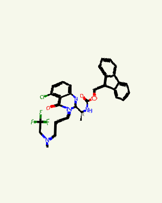 C[C@H](NC(=O)OCC1c2ccccc2-c2ccccc21)c1nc2cccc(Cl)c2c(=O)n1CCCN(C)CC(F)(F)F